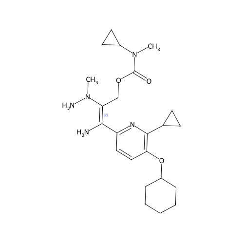 CN(N)/C(COC(=O)N(C)C1CC1)=C(\N)c1ccc(OC2CCCCC2)c(C2CC2)n1